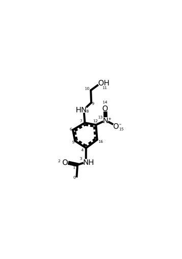 CC(=O)Nc1ccc(NCCO)c([N+](=O)[O-])c1